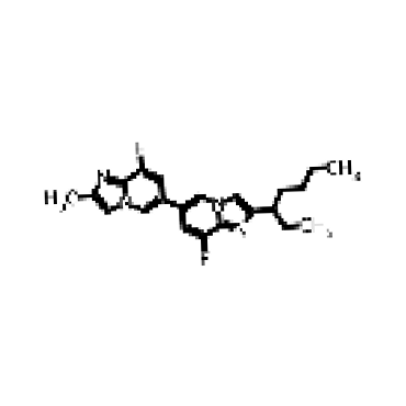 CCCCC(CC)c1cn2cc(-c3cc(F)c4nc(C)cn4c3)cc(F)c2n1